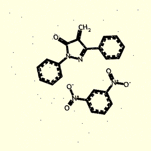 C=C1C(=O)N(c2ccccc2)N=C1c1ccccc1.O=[N+]([O-])c1cccc([N+](=O)[O-])c1